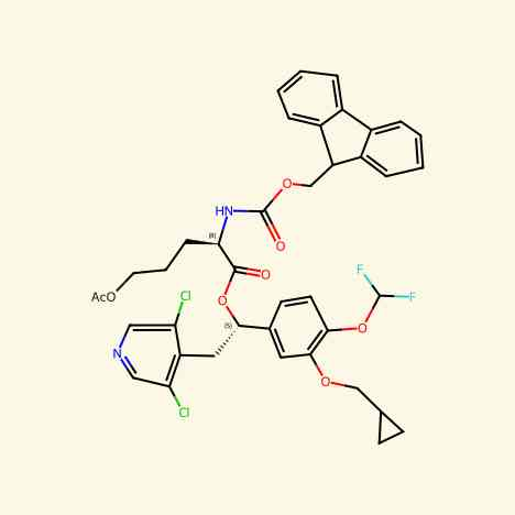 CC(=O)OCCC[C@@H](NC(=O)OCC1c2ccccc2-c2ccccc21)C(=O)O[C@@H](Cc1c(Cl)cncc1Cl)c1ccc(OC(F)F)c(OCC2CC2)c1